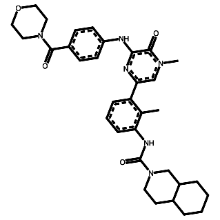 Cc1c(NC(=O)N2CCC3CCCCC3C2)cccc1-c1cn(C)c(=O)c(Nc2ccc(C(=O)N3CCOCC3)cc2)n1